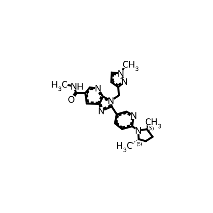 CNC(=O)c1cnc2c(c1)nc(-c1ccc(N3[C@@H](C)CC[C@@H]3C)nc1)n2Cc1ccn(C)n1